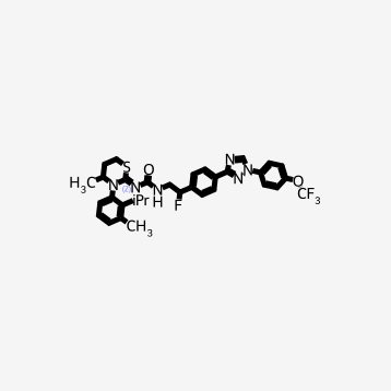 Cc1cccc(N2/C(=N/C(=O)NCC(F)c3ccc(-c4ncn(-c5ccc(OC(F)(F)F)cc5)n4)cc3)SCCC2C)c1C(C)C